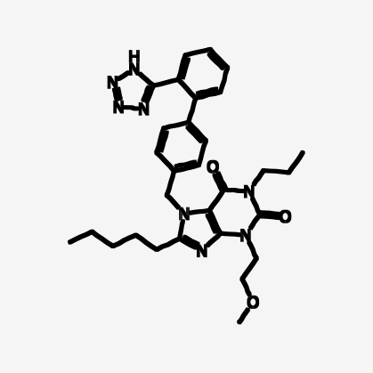 CCCCCc1nc2c(c(=O)n(CCC)c(=O)n2CCOC)n1Cc1ccc(-c2ccccc2-c2nnn[nH]2)cc1